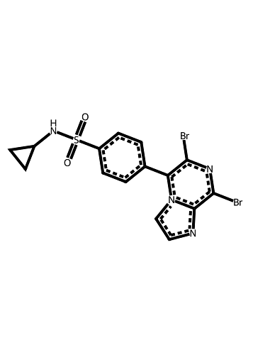 O=S(=O)(NC1CC1)c1ccc(-c2c(Br)nc(Br)c3nccn23)cc1